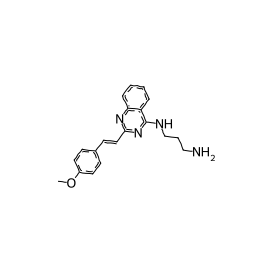 COc1ccc(C=Cc2nc(NCCCN)c3ccccc3n2)cc1